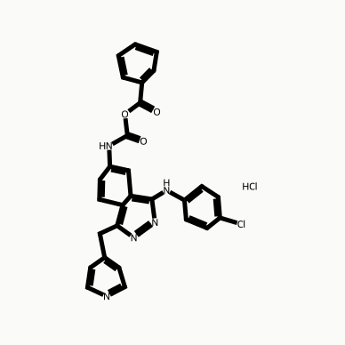 Cl.O=C(Nc1ccc2c(Cc3ccncc3)nnc(Nc3ccc(Cl)cc3)c2c1)OC(=O)c1ccccc1